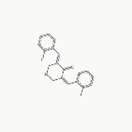 O=C1/C(=C\c2ccccc2F)CNC/C1=C\c1ccccc1F